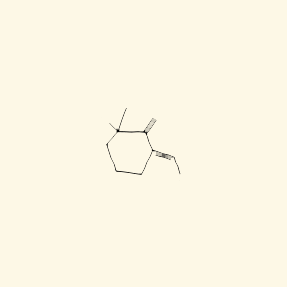 CC=C1CCCC(C)(C)C1=O